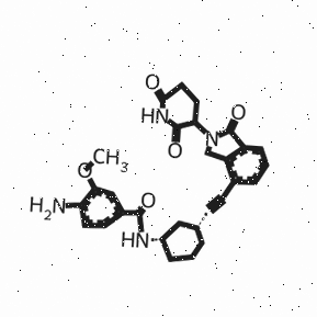 COc1cc(C(=O)N[C@H]2CCC[C@@H](C#Cc3cccc4c3CN(C3CCC(=O)NC3=O)C4=O)C2)ccc1N